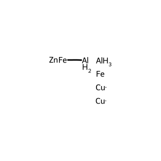 [AlH2][Fe].[AlH3].[Cu].[Cu].[Fe].[Zn]